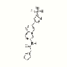 [2H]C([2H])([2H])n1cc(-c2cnc3cnc(NC(=O)CN4CCCC4)cc3c2)cn1